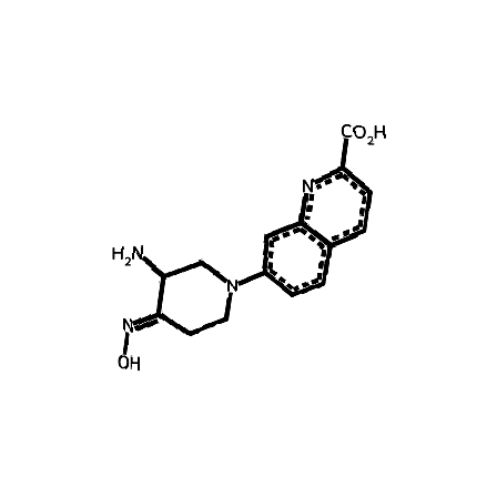 NC1CN(c2ccc3ccc(C(=O)O)nc3c2)CCC1=NO